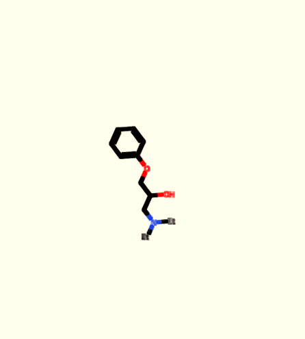 CCN(CC)CC(O)COc1ccccc1